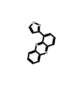 c1ccc2nc3c(-c4ccon4)cccc3nc2c1